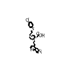 COc1ccc(SCCCN2CC[C@@H](CCCc3ccnc4ccc(OC)cc34)[C@@H](CC(=O)O)C2)cc1